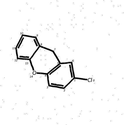 Clc1ccc2c(c1)Cc1ccccc1O2